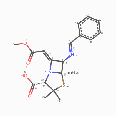 COC(=O)/C=C1/[C@@H](/N=C/c2ccccc2)[C@H]2SC(C)(C)[C@H](C(=O)O)N12